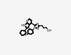 OCCCc1nc(-c2ccnc3[nH]c(-c4ccccc4)cc23)n(-c2ccc(F)cc2)n1